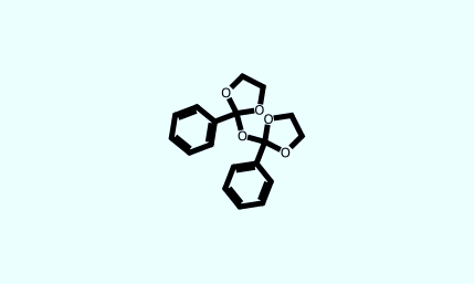 c1ccc(C2(OC3(c4ccccc4)OCCO3)OCCO2)cc1